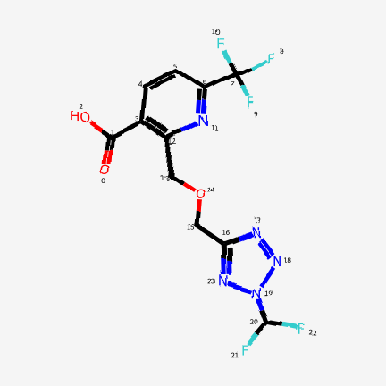 O=C(O)c1ccc(C(F)(F)F)nc1COCc1nnn(C(F)F)n1